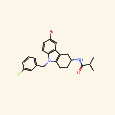 CC(C)C(=O)NC1CCc2c(c3cc(Br)ccc3n2Cc2cccc(F)c2)C1